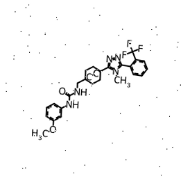 COc1cccc(NC(=O)NCC23CCC(c4nnc(-c5ccccc5C(F)(F)F)n4C)(CC2)CC3)c1